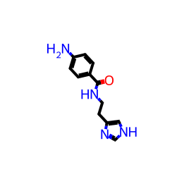 Nc1ccc(C(=O)NCCc2c[nH]cn2)cc1